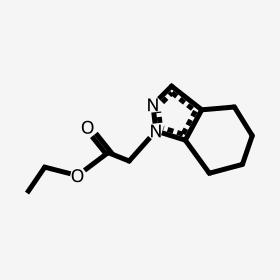 CCOC(=O)Cn1ncc2c1CCCC2